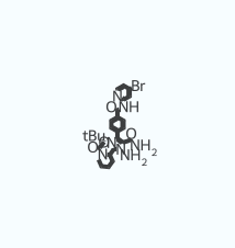 CC(C)(C)OC(=O)N1CCCCC1c1nc(-c2ccc(C(=O)Nc3cc(Br)ccn3)cc2)c(C(N)=O)n1N